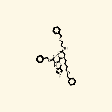 O=C(CN(CCCCOCc1ccccc1)C(=O)[C@H](Cc1c[nH]cn1)NC(=O)OCc1ccccc1)NCCOCc1ccccc1